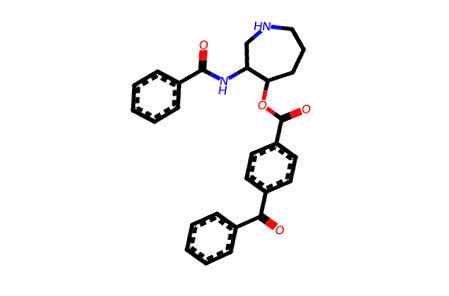 O=C(NC1CNCCCC1OC(=O)c1ccc(C(=O)c2ccccc2)cc1)c1ccccc1